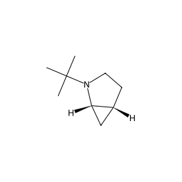 CC(C)(C)N1CC[C@@H]2C[C@@H]21